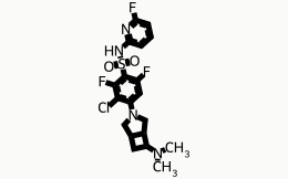 CN(C)C1CC2CN(c3cc(F)c(S(=O)(=O)Nc4cccc(F)n4)c(F)c3Cl)CC21